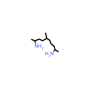 CC(N)CCCC(C)CCC(C)N